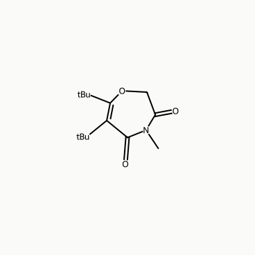 CN1C(=O)COC(C(C)(C)C)=C(C(C)(C)C)C1=O